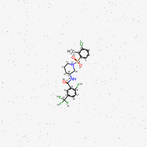 Cc1c(Cl)cccc1S(=O)(=O)N1CCC[C@H](NC(=O)c2cc(C(F)(F)F)ccc2F)C1